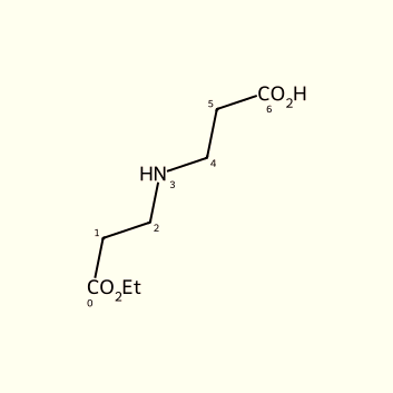 CCOC(=O)CCNCCC(=O)O